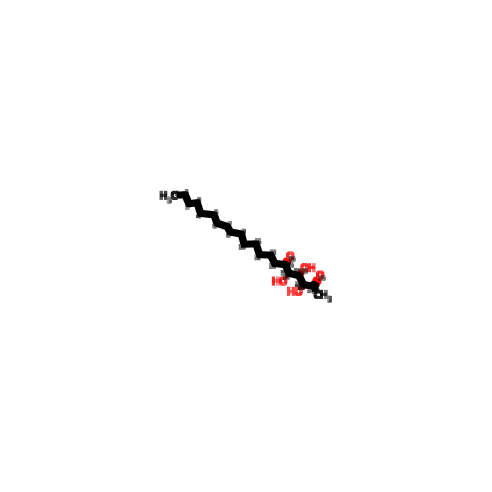 CCCCCCCCCCCCCCCC(=O)[C@@H](O)C(O)C(O)C(C)=O